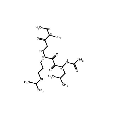 CN[C@@H](C)C(=O)CN[C@@H](CCCNC(N)N)C(=O)C(=O)[C@H](CC(C)C)NC(N)=O